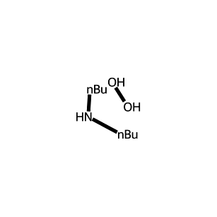 CCCCNCCCC.OO